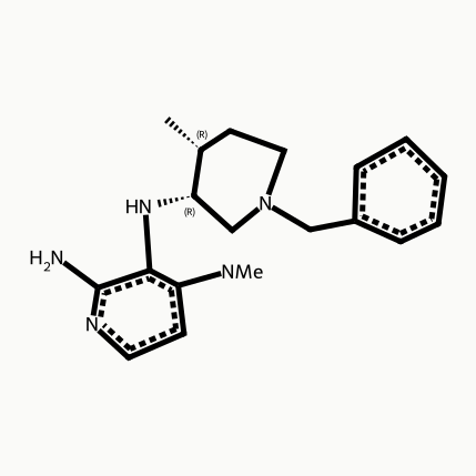 CNc1ccnc(N)c1N[C@H]1CN(Cc2ccccc2)CC[C@H]1C